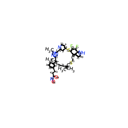 Cn1nc2nc1-c1cc(ccn1)Sc1c(F)c(F)c3[nH]ccc3c1CCSCC(C)(C)CCC[C@]2(C)c1cccc(CCC(=O)N=O)c1